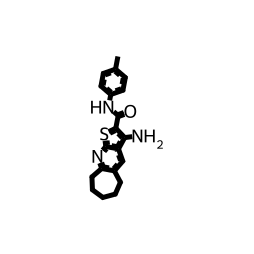 Cc1ccc(NC(=O)c2sc3nc4c(cc3c2N)CCCCC4)cc1